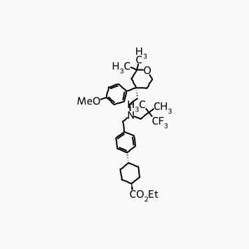 CCOC(=O)[C@H]1CC[C@H](c2ccc(CN(CC[C@@]3(c4ccc(OC)cc4)CCOC(C)(C)C3)CC(C)(C)C(F)(F)F)cc2)CC1